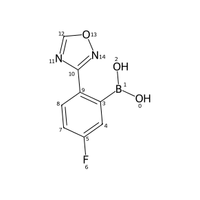 OB(O)c1cc(F)ccc1-c1ncon1